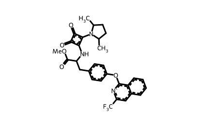 COC(=O)C(Cc1ccc(Oc2nc(C(F)(F)F)cc3ccccc23)cc1)Nc1c(N2C(C)CCC2C)c(=O)c1=O